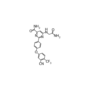 N#Cc1cc(Oc2ccc(-c3nc(NCC(N)=O)cc(C(N)=O)n3)cc2)ccc1C(F)(F)F